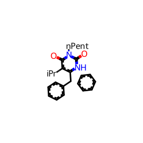 CCCCCn1c(=O)[nH]c(Cc2ccccc2)c(C(C)C)c1=O.c1ccccc1